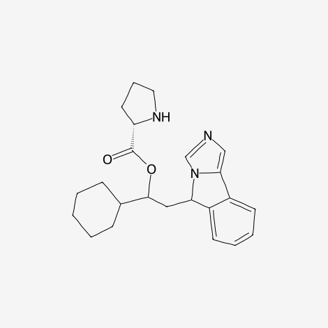 O=C(OC(CC1c2ccccc2-c2cncn21)C1CCCCC1)[C@@H]1CCCN1